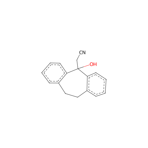 N#CCC1(O)c2ccccc2CCc2ccccc21